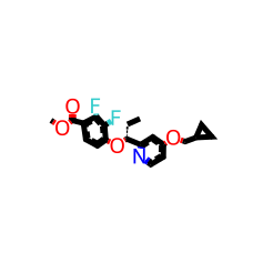 CC[C@@H](Oc1ccc(C(=O)OC)c(F)c1F)c1cc(OCC2CC2)ccn1